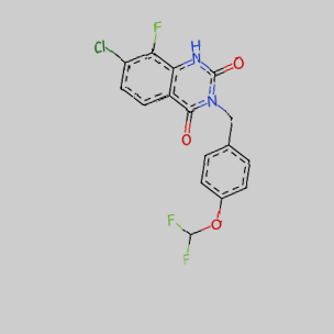 O=c1[nH]c2c(F)c(Cl)ccc2c(=O)n1Cc1ccc(OC(F)F)cc1